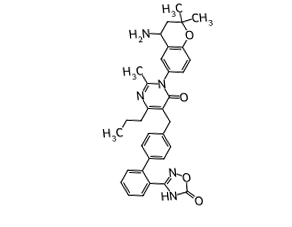 CCCc1nc(C)n(-c2ccc3c(c2)C(N)CC(C)(C)O3)c(=O)c1Cc1ccc(-c2ccccc2-c2noc(=O)[nH]2)cc1